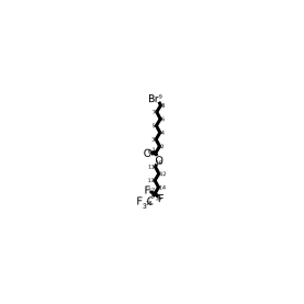 O=C(CCCCCCCBr)OCCCCC(F)(F)C(F)(F)F